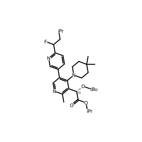 Cc1ncc(-c2ccc(C(F)CC(C)C)nc2)c(N2CCC(C)(C)CC2)c1[C@H](OC(C)(C)C)C(=O)OC(C)C